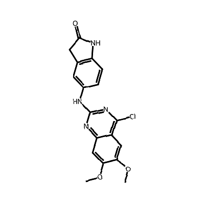 COc1cc2nc(Nc3ccc4c(c3)CC(=O)N4)nc(Cl)c2cc1OC